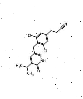 CC(C)c1cc(Cc2c(Cl)cc(CCC#N)cc2Cl)n[nH]c1=O